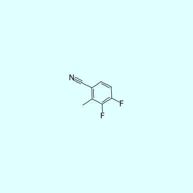 Cc1c(C#N)ccc(F)c1F